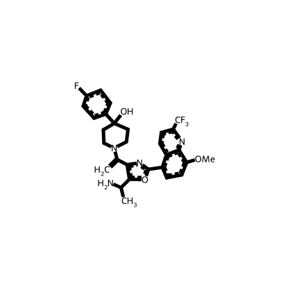 C=C(c1nc(-c2ccc(OC)c3nc(C(F)(F)F)ccc23)oc1C(C)N)N1CCC(O)(c2ccc(F)cc2)CC1